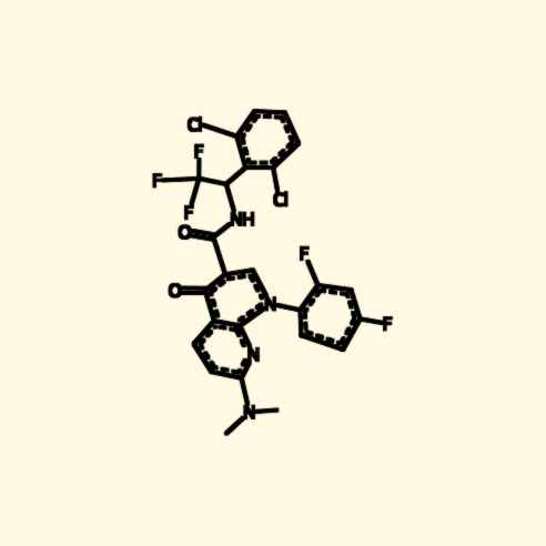 CN(C)c1ccc2c(=O)c(C(=O)NC(c3c(Cl)cccc3Cl)C(F)(F)F)cn(-c3ccc(F)cc3F)c2n1